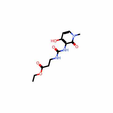 CCOC(=O)CCNC(=O)Nc1c(O)ccn(C)c1=O